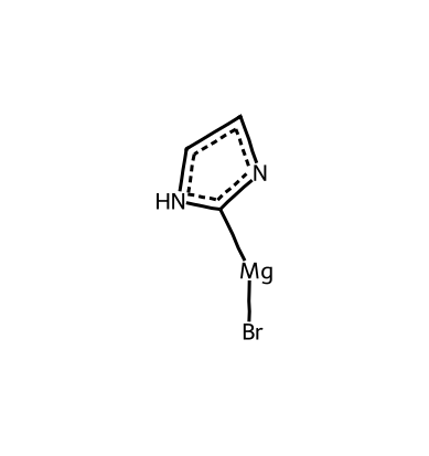 [Br][Mg][c]1ncc[nH]1